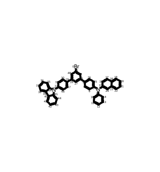 Brc1cc(-c2ccc(N(c3ccccc3)c3ccc4ccccc4c3)cc2)cc(-c2ccc(-n3c4ccccc4c4ccccc43)cc2)c1